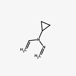 C=CN(N=C)C1CC1